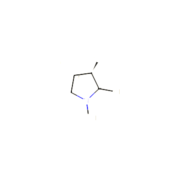 CC1[C@H](C(F)(F)F)[C@@H](C(F)(F)F)CN1C